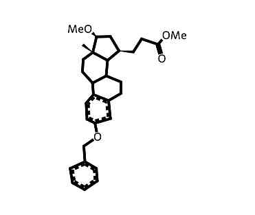 COC(=O)CC[C@@H]1C[C@H](OC)[C@@]2(C)CCC3c4ccc(OCc5ccccc5)cc4CCC3C12